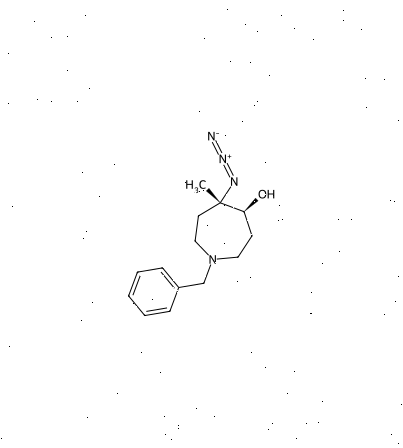 C[C@]1(N=[N+]=[N-])CCN(Cc2ccccc2)CC[C@@H]1O